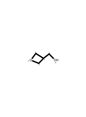 OCC1COC1